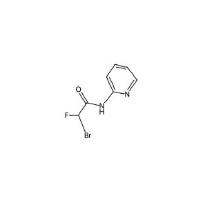 O=C(Nc1ccccn1)C(F)Br